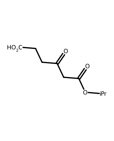 CC(C)OC(=O)CC(=O)CCC(=O)O